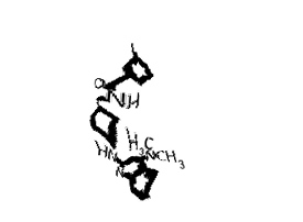 CN(C)c1cc(N[C@H]2CC[C@@H](CNC(=O)c3cccc(I)c3)CC2)nc2ccccc12